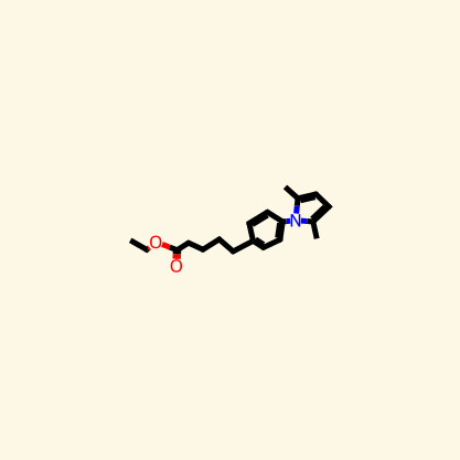 CCOC(=O)CCCCc1ccc(-n2c(C)ccc2C)cc1